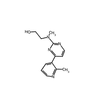 Cc1ncccc1-c1ccnc(N(C)CCO)n1